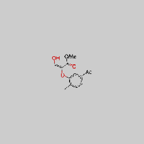 COC(=O)C(=CO)Oc1cc(C(C)=O)ccc1C